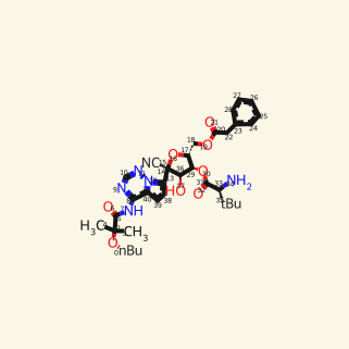 CCCCOC(C)(C)C(=O)Nc1ncnn2c([C@]3(C#N)O[C@H](COC(=O)Cc4ccccc4)[C@@H](OC(=O)[C@@H](N)C(C)(C)C)[C@H]3O)ccc12